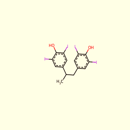 CC(Cc1cc(I)c(O)c(I)c1)c1cc(I)c(O)c(I)c1